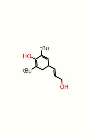 CC(C)(C)C1=CC(C=CCO)CC(C(C)(C)C)=C1O